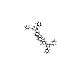 c1ccc(-c2cc(-c3ccc4c(c3)oc3c4ccc4c5ccc(-c6cc(-c7ccccc7)nc(-c7ccccc7)n6)cc5oc43)nc(-c3ccccc3)n2)cc1